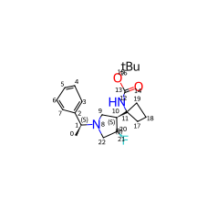 C[C@@H](c1ccccc1)N1C[C@@H](C2(NC(=O)OC(C)(C)C)CCC2)[C@@H](F)C1